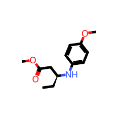 CC[C@@H](CC(=O)OC)Nc1ccc(OC)cc1